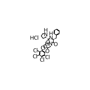 Cl.O=C(CNC(=O)[C@H](Cc1ccccc1)NC(=O)[C@@H]1CCCN1)Oc1c(Cl)c(Cl)c(Cl)c(Cl)c1Cl